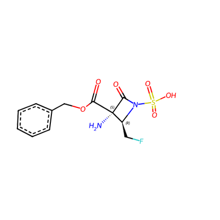 N[C@]1(C(=O)OCc2ccccc2)C(=O)N(S(=O)(=O)O)[C@H]1CF